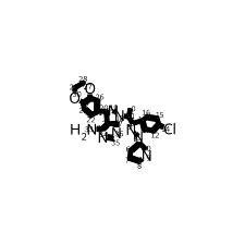 CC(c1nn(-c2cccnc2)c2cc(Cl)ccc12)n1nc(-c2ccc3c(c2)OCCO3)c2c(N)ncnc21